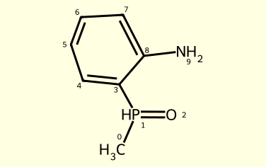 C[PH](=O)c1ccccc1N